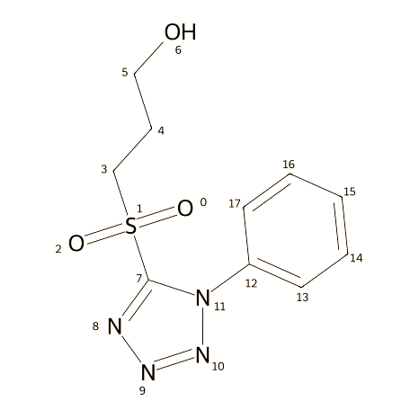 O=S(=O)(CCCO)c1nnnn1-c1ccccc1